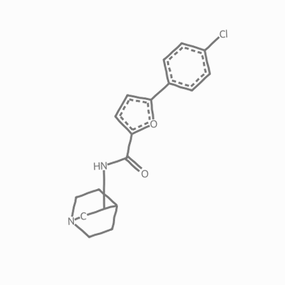 O=C(NC1CN2CCC1CC2)c1ccc(-c2ccc(Cl)cc2)o1